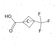 O=C(O)C12CC(C(F)(F)F)(C1)C2